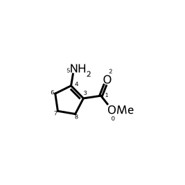 COC(=O)C1=C(N)CCC1